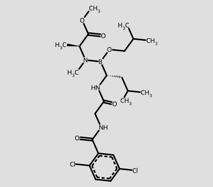 COC(=O)[C@H](C)N(C)B(OCC(C)C)[C@H](CC(C)C)NC(=O)CNC(=O)c1cc(Cl)ccc1Cl